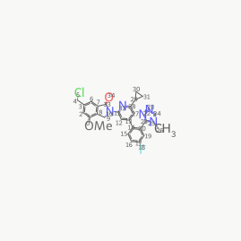 COc1cc(CCl)cc2c1CN(c1cc(-c3ccc(F)cc3-c3nncn3C)cc(C3CC3)n1)C2=O